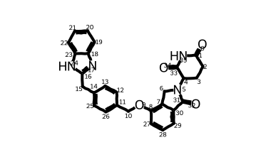 O=C1CCC(N2Cc3c(OCc4ccc(Cc5nc6ccccc6[nH]5)cc4)cccc3C2=O)C(=O)N1